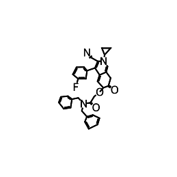 N#CC1=C(c2cccc(F)c2)C2=CC(OCC(=O)N(Cc3ccccc3)Cc3ccccc3)C(=O)CC2=CN1C1CC1